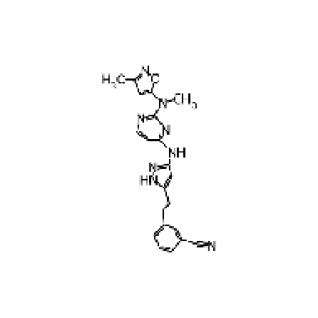 Cc1cc(N(C)c2nccc(Nc3cc(CCc4cccc(C#N)c4)[nH]n3)n2)on1